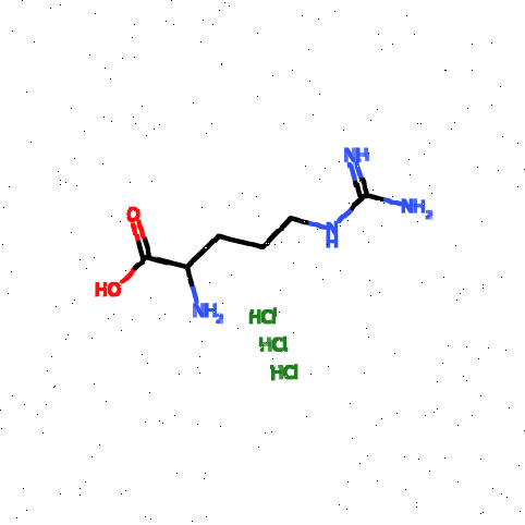 Cl.Cl.Cl.N=C(N)NCCCC(N)C(=O)O